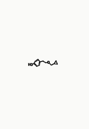 Oc1ccc(CCOCC2CC2)cc1